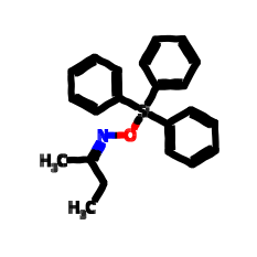 CCC(C)=NO[Si](c1ccccc1)(c1ccccc1)c1ccccc1